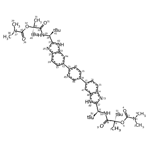 CN(C)C(=O)O[C@@](C)(C(=O)N[C@H](c1nc2ccc(-c3ccc(-c4ccc5nc([C@@H](NC(=O)[C@](C)(OC(=O)N(C)C)C(C)(C)C)C(C)(C)C)[nH]c5c4)nc3)cc2[nH]1)C(C)(C)C)C(C)(C)C